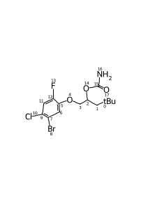 CC(C)(C)CC(COc1cc(Br)c(Cl)cc1F)OC(N)=O